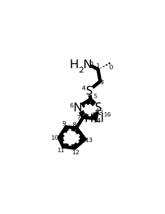 C[C@@H](N)CSc1nc(-c2ccccc2)cs1.Cl